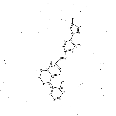 Cc1cn(-c2ccc(/C=C/C(=O)NN3CCCC(c4ccccc4C)C3=O)nc2C)cn1